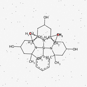 CC1(C)CC(O)CC(C)(C)N1[Si](c1ccccc1)(N1C(C)(C)CC(O)CC1(C)C)N1C(C)(C)CC(O)CC1(C)C